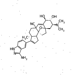 CN(C)[C@H]1C[C@@]23CC[C@]4(O2)C2CC=C(c5ccc6[nH]nc(N)c6c5)[C@@]2(C)CCC4(C#N)C=C3[C@@H](O)[C@@H]1O